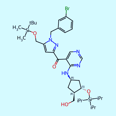 CC(C)[Si](O[C@H]1C[C@H](Nc2ncncc2C(=O)c2cc(CO[Si](C)(C)C(C)(C)C)n(Cc3cccc(Br)c3)n2)C[C@@H]1CO)(C(C)C)C(C)C